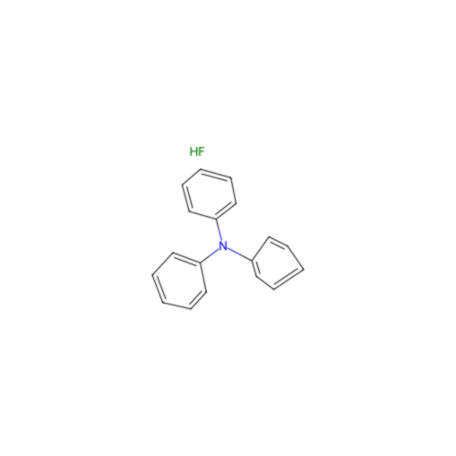 F.c1ccc(N(c2ccccc2)c2ccccc2)cc1